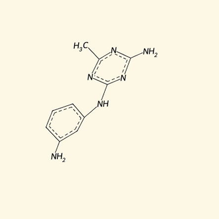 Cc1nc(N)nc(Nc2cccc(N)c2)n1